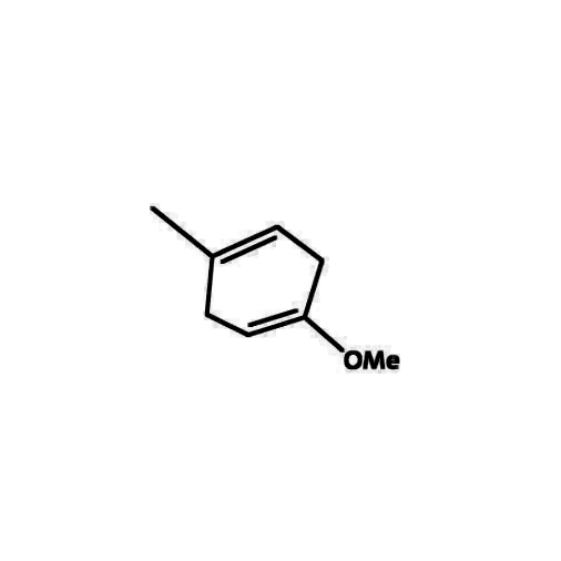 COC1=CCC(C)=CC1